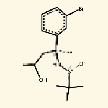 CC(O)C[C@](C)(N[S@+]([O-])C(C)(C)C)c1cccc(Br)c1